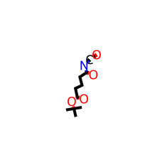 CC(C)(C)OC(=O)CCCC(=O)N=C=O